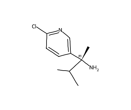 CC(C)[C@@](C)(N)c1ccc(Cl)nc1